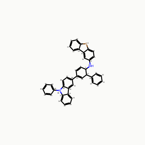 C1=CC(Nc2ccc3sc4ccccc4c3c2)C(c2ccccc2)C=C1c1ccc2c(c1)c1ccccc1n2-c1ccccc1